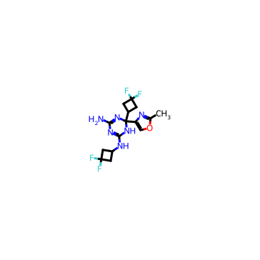 Cc1nc(C2(C3CC(F)(F)C3)N=C(N)N=C(NC3CC(F)(F)C3)N2)co1